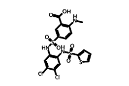 CNc1ccc(S(=O)(=O)Nc2cc(Cl)c(Cl)cc2NS(=O)(=O)c2cccs2)cc1C(=O)O